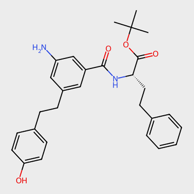 CC(C)(C)OC(=O)[C@H](CCc1ccccc1)NC(=O)c1cc(N)cc(CCc2ccc(O)cc2)c1